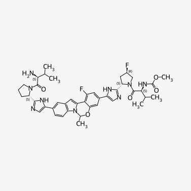 COC(=O)N[C@H](C(=O)N1C[C@H](F)C[C@H]1c1ncc(-c2cc(F)c3c(c2)OC(C)n2c-3cc3cc(-c4cnc([C@@H]5CCCN5C(=O)[C@@H](N)C(C)C)[nH]4)ccc32)[nH]1)C(C)C